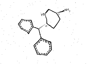 N[C@H]1CC[C@H](C(c2ccccc2)c2ccccc2)NC1